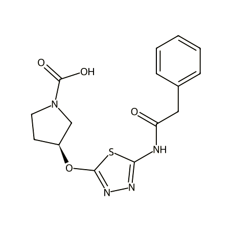 O=C(Cc1ccccc1)Nc1nnc(O[C@H]2CCN(C(=O)O)C2)s1